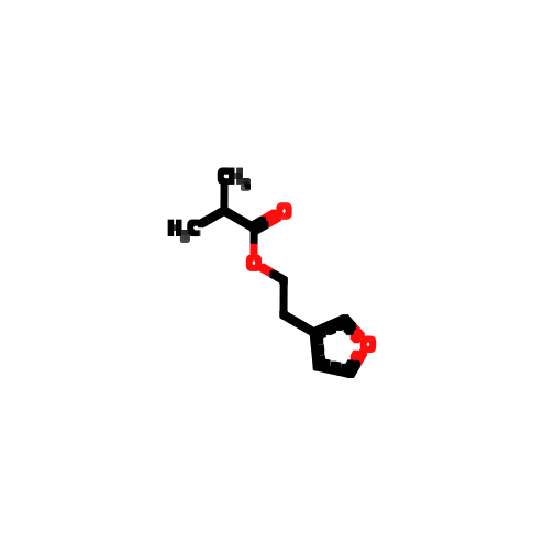 CC(C)C(=O)OCCc1ccoc1